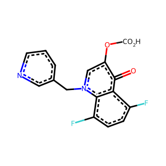 O=C(O)Oc1cn(Cc2cccnc2)c2c(F)ccc(F)c2c1=O